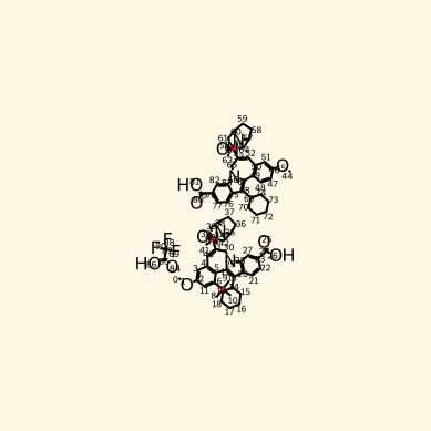 COc1cc2c(c(C(C)(C)C)c1)-c1c(C3CCCCC3)c3ccc(C(=O)O)cc3n1CC(C(=O)N1C3CCC1CN(C)C3)=C2.COc1ccc2c(c1)C=C(C(=O)N1C3CCC1CN(C)C3)Cn1c-2c(C2CCCCC2)c2ccc(C(=O)O)cc21.O=C(O)C(F)(F)F